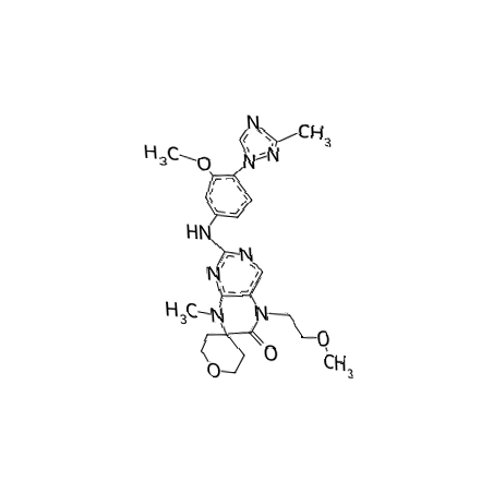 COCCN1C(=O)C2(CCOCC2)N(C)c2nc(Nc3ccc(-n4cnc(C)n4)c(OC)c3)ncc21